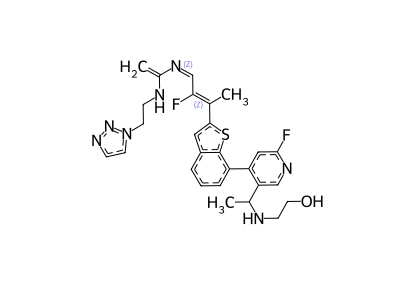 C=C(/N=C\C(F)=C(/C)c1cc2cccc(-c3cc(F)ncc3C(C)NCCO)c2s1)NCCn1ccnn1